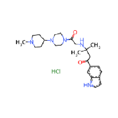 CN1CCC(N2CCN(C(=O)CNC(C)(C)CC(=O)c3ccc4cc[nH]c4c3)CC2)CC1.Cl